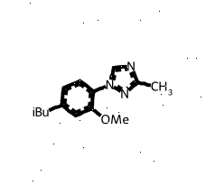 CCC(C)c1ccc(-n2cnc(C)n2)c(OC)c1